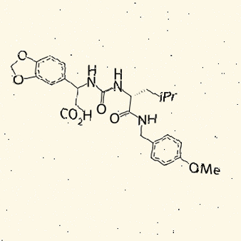 COc1ccc(CNC(=O)[C@@H](CC(C)C)NC(=O)NC(CC(=O)O)c2ccc3c(c2)OCO3)cc1